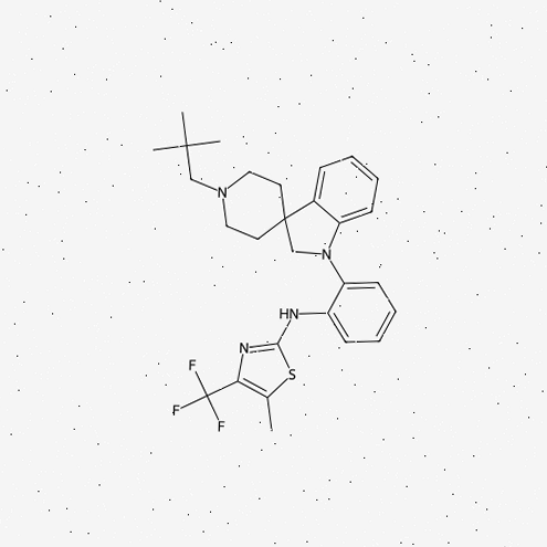 Cc1sc(Nc2ccccc2N2CC3(CCN(CC(C)(C)C)CC3)c3ccccc32)nc1C(F)(F)F